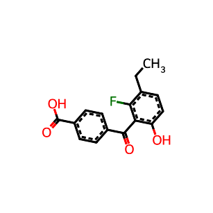 CCc1ccc(O)c(C(=O)c2ccc(C(=O)O)cc2)c1F